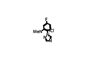 CNc1cc(F)ccc1-n1cncn1.Cl